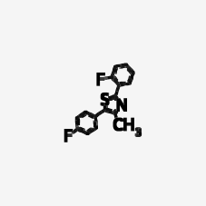 Cc1nc(-c2ccccc2F)sc1-c1ccc(F)cc1